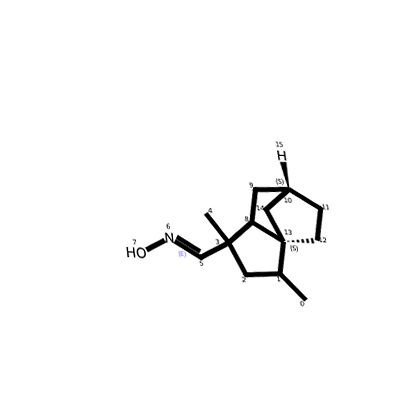 CC1CC(C)(/C=N/O)C2C[C@@H]3CC[C@]12C3